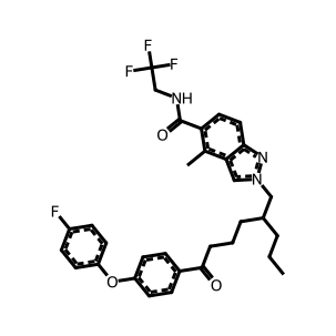 CCCC(CCCC(=O)c1ccc(Oc2ccc(F)cc2)cc1)Cn1cc2c(C)c(C(=O)NCC(F)(F)F)ccc2n1